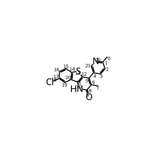 Cc1ccc(-c2c(C)c(=O)[nH]c3c2sc2ccc(Cl)cc23)cn1